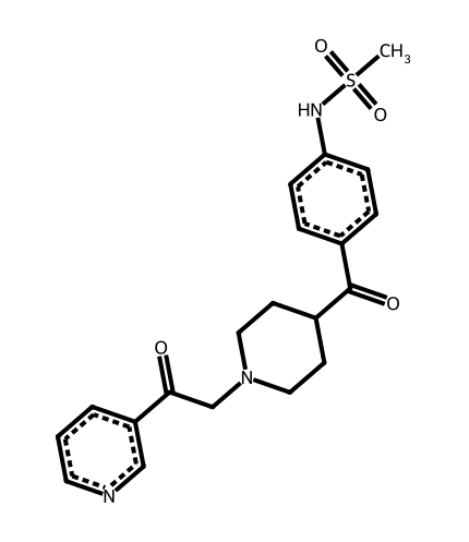 CS(=O)(=O)Nc1ccc(C(=O)C2CCN(CC(=O)c3cccnc3)CC2)cc1